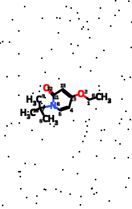 CCOc1ccn(C(C)(C)C)c(=O)c1